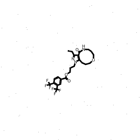 CCc1nn(CCCOC(=O)c2ccc(C(F)(F)F)c(C(F)(F)F)c2)c2c1C(=O)NCCCOCCC2